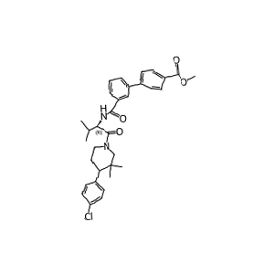 COC(=O)c1ccc(-c2cccc(C(=O)N[C@@H](C(=O)N3CCC(c4ccc(Cl)cc4)C(C)(C)C3)C(C)C)c2)cc1